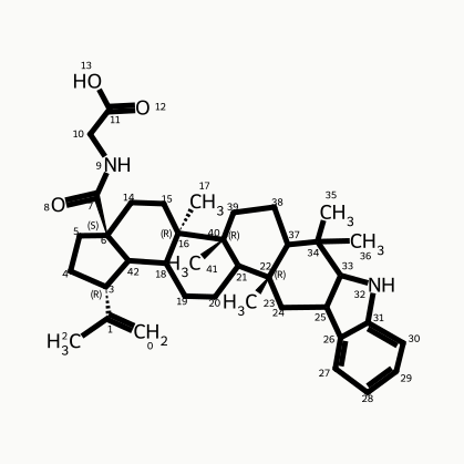 C=C(C)[C@@H]1CC[C@]2(C(=O)NCC(=O)O)CC[C@]3(C)C(CCC4[C@@]5(C)CC6c7ccccc7NC6C(C)(C)C5CC[C@]43C)C12